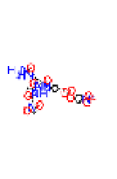 CC(C)C(NC(=O)CCN1C(=O)C=CC1=O)C(=O)NC(CCCNC(N)=O)C(=O)Nc1ccc(COC(=O)Oc2ccc([N+](=O)[O-])cc2)cc1